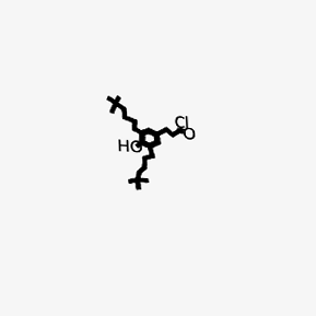 CC(C)(C)CCCCc1cc(CCC(=O)Cl)cc(CCCCC(C)(C)C)c1O